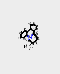 CC1CC=C[C@H]2C3CCC=CC3C3C=CCCC3N2C1